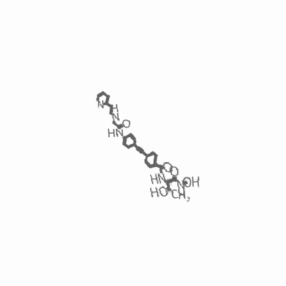 C[C@@H](O)[C@H](NC(=O)c1ccc(C#Cc2ccc(NC(=O)CNCCc3ccccn3)cc2)cc1)C(=O)NO